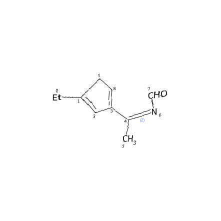 CCC1=CC(/C(C)=N\C=O)=CC1